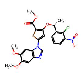 COC(=O)c1sc(-n2cnc3cc(OC)c(OC)cc32)cc1O[C@H](C)c1cccc([N+](=O)[O-])c1Cl